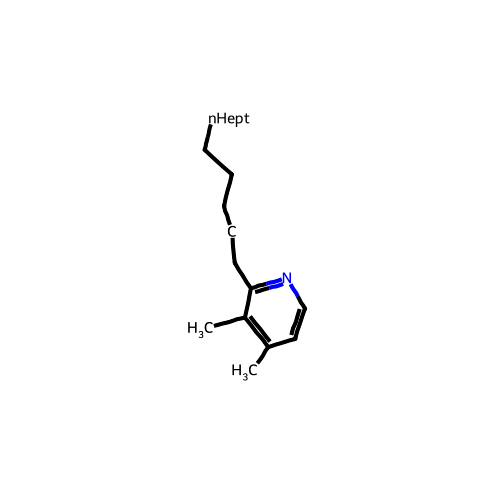 CCCCCCCCCCCCc1nccc(C)c1C